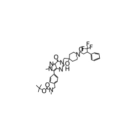 CN(Cc1ccc(-c2c3ncn(CC4(O)CCN(C(=O)CC(c5ccccc5)C(F)(F)F)CC4)c(=O)c3nn2C)cc1)C(=O)OC(C)(C)C